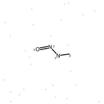 C[N]N=O